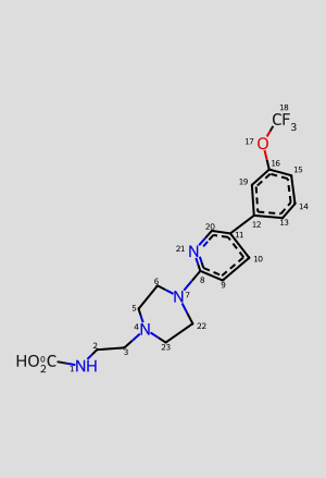 O=C(O)NCCN1CCN(c2ccc(-c3cccc(OC(F)(F)F)c3)cn2)CC1